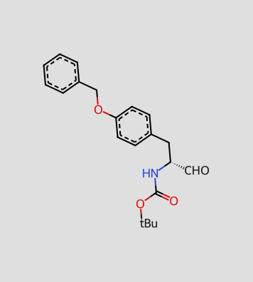 CC(C)(C)OC(=O)N[C@@H](C=O)Cc1ccc(OCc2ccccc2)cc1